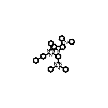 c1ccc(-c2ccc(-c3nc(-c4ccccc4)nc(-c4cc(-c5nc(-c6ccccc6)nc(-c6ccccc6)n5)ccc4-n4c5ccccc5c5c6c7ccccc7n(-c7ccccc7)c6ccc54)n3)cc2)cc1